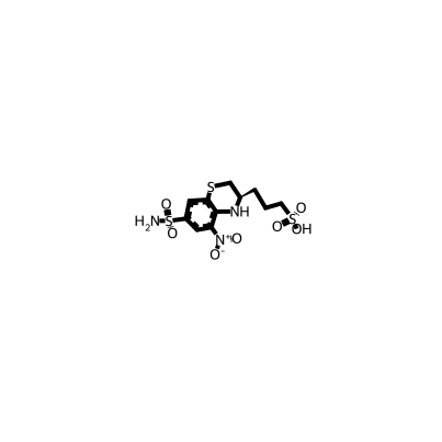 NS(=O)(=O)c1cc2c(c([N+](=O)[O-])c1)N[C@H](CCCS(=O)(=O)O)CS2